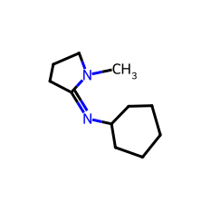 CN1CCCC1=NC1CCCCC1